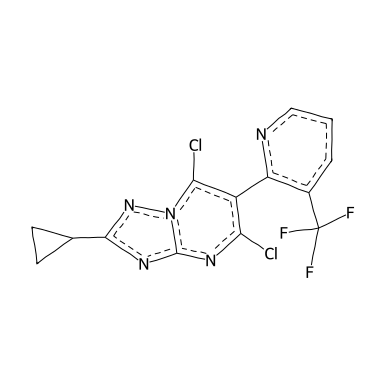 FC(F)(F)c1cccnc1-c1c(Cl)nc2nc(C3CC3)nn2c1Cl